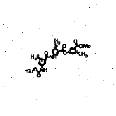 COC(=O)c1cc(OC(=O)C2=CC(NC(=O)c3cc(NC(=O)OC(C)(C)C)cn3C)CN2C)cn1C